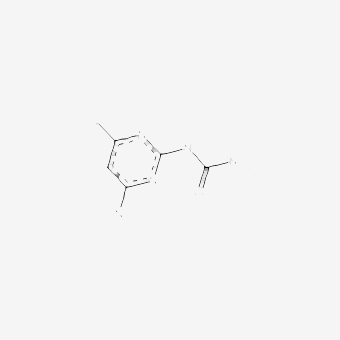 NC(=O)Nc1nc(N)cc(Cl)n1